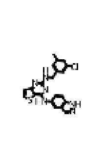 Cc1cc(Cl)cc(CNc2nc(Nc3ccc4[nH]ncc4c3)c3sccc3n2)c1